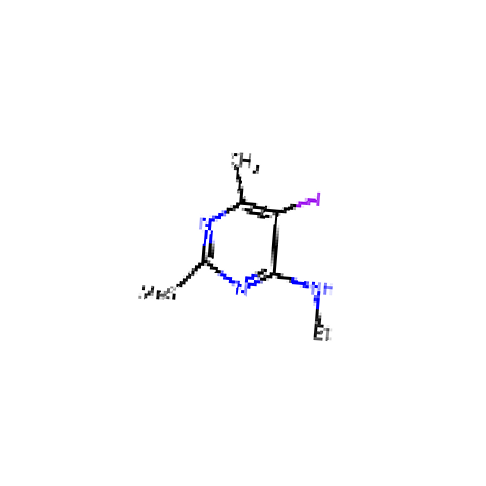 CCNc1nc(SC)nc(C)c1I